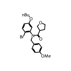 CCCCOc1ccc(Br)c(N(Cc2ccc(OC)cc2)C(=O)C2CCOC2)c1